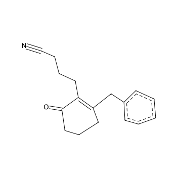 N#CCCCC1=C(Cc2ccccc2)CCCC1=O